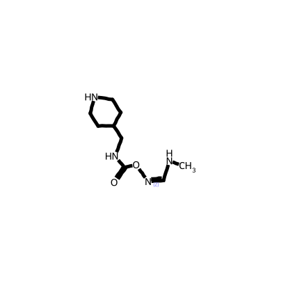 CN/C=N\OC(=O)NCC1CCNCC1